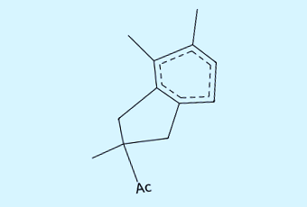 CC(=O)C1(C)Cc2ccc(C)c(C)c2C1